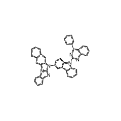 c1ccc(-c2nc(-n3c4ccccc4c4cc(-n5c6cc7ccccc7cc6n6c7ccccc7nc56)ccc43)nc3ccccc23)cc1